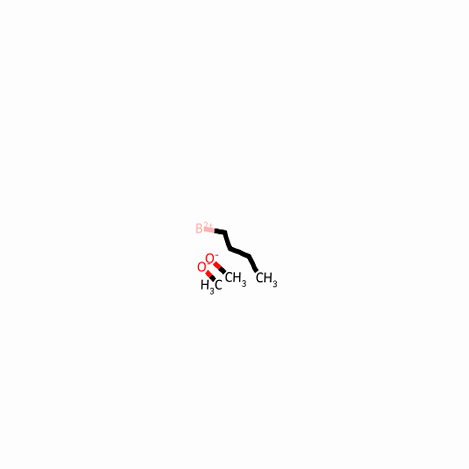 C[O-].C[O-].[B+2]CCCC